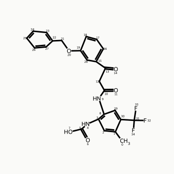 Cc1cc(NC(=O)O)c(NC(=O)CC(=O)c2cccc(OCc3ccccc3)c2)cc1C(F)(F)F